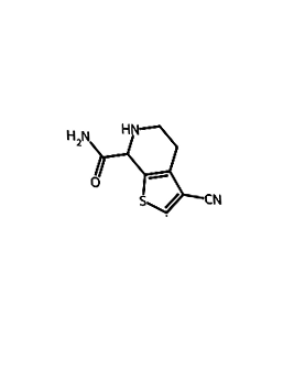 N#Cc1[c]sc2c1CCNC2C(N)=O